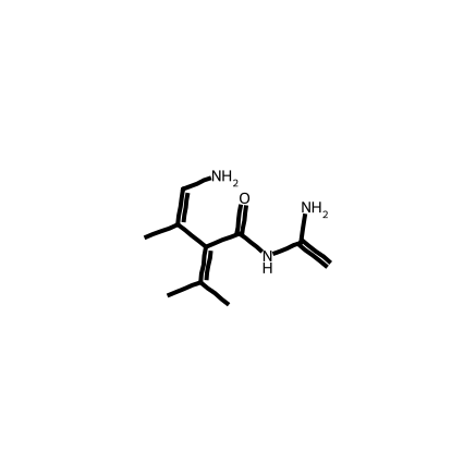 C=C(N)NC(=O)C(=C(C)C)/C(C)=C\N